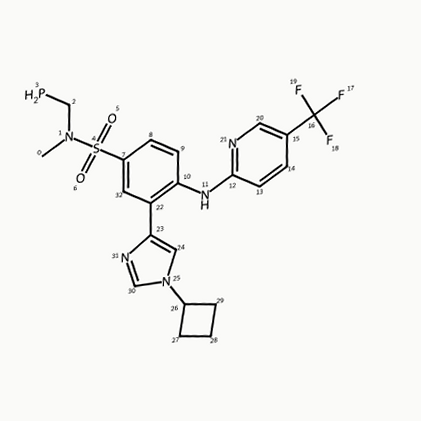 CN(CP)S(=O)(=O)c1ccc(Nc2ccc(C(F)(F)F)cn2)c(-c2cn(C3CCC3)cn2)c1